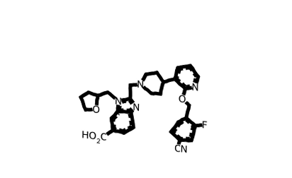 N#Cc1ccc(COc2ncccc2C2CCN(Cc3nc4ccc(C(=O)O)cc4n3CC3CCCO3)CC2)c(F)c1